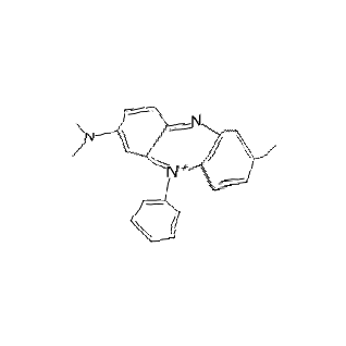 Cc1ccc2c(c1)nc1ccc(N(C)C)cc1[n+]2-c1ccccc1